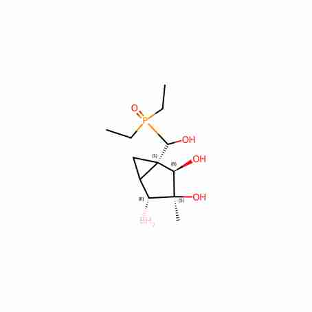 B[C@@H]1C2C[C@@]2(C(O)P(=O)(CC)CC)[C@@H](O)[C@@]1(C)O